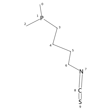 CP(C)CCCCN=C=S